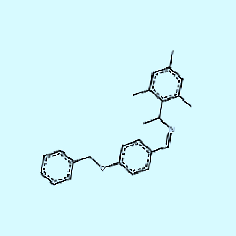 Cc1cc(C)c(C(C)/N=C\c2ccc(OCc3ccccc3)cc2)c(C)c1